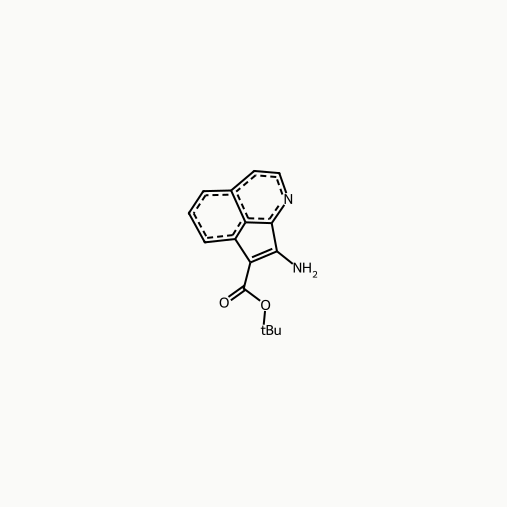 CC(C)(C)OC(=O)C1=C(N)c2nccc3cccc1c23